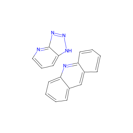 c1ccc2nc3ccccc3cc2c1.c1cnc2nn[nH]c2c1